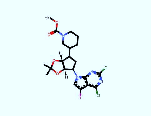 CC(C)(C)OC(=O)N1CCCC([C@H]2C[C@@H](n3cc(I)c4c(Cl)nc(Cl)nc43)[C@@H]3OC(C)(C)O[C@@H]32)C1